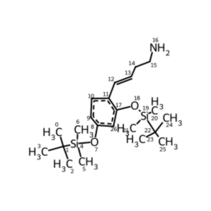 CC(C)(C)[Si](C)(C)Oc1ccc(C=CCCN)c(O[Si](C)(C)C(C)(C)C)c1